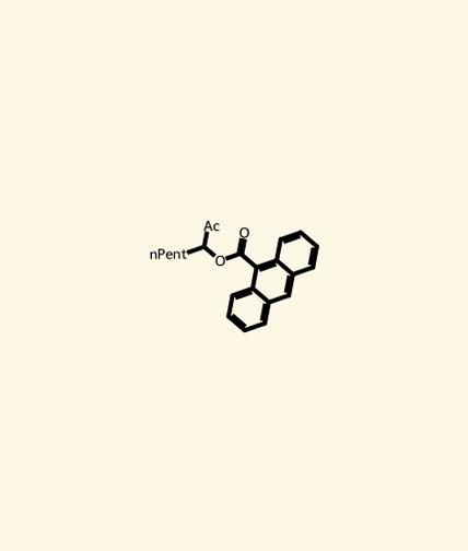 CCCCCC(OC(=O)c1c2ccccc2cc2ccccc12)C(C)=O